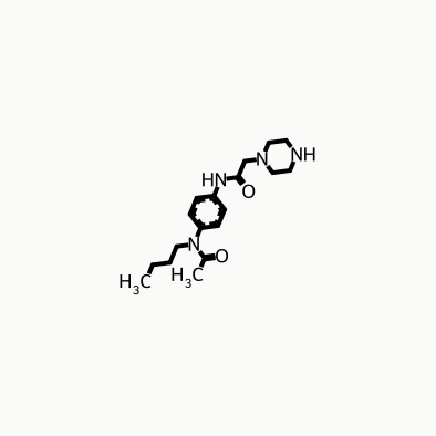 CCCCN(C(C)=O)c1ccc(NC(=O)CN2CCNCC2)cc1